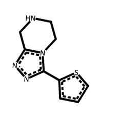 c1csc(-c2nnc3n2CCNC3)c1